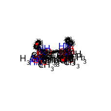 C[C@H](NC(=O)OC(C)(C)C)C(=O)N[C@H](C(=O)N1C[C@@H](OCC#CC#CCO[C@H]2C[C@@H](C(=O)NC3CCCc4ccccc43)N(C(=O)[C@@H](NC(=O)[C@H](C)N(C)C(=O)OC(C)(C)C)C(C)(C)C)C2)C[C@H]1C(=O)N[C@@H]1CCCc2ccccc21)C(C)(C)C